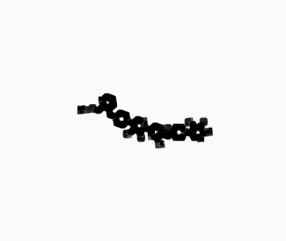 CCc1nc(-n2ncc(N3CCN(Cc4cccnc4COC)CC3)c(Cl)c2=O)ccc1CC1(O)CCN(c2cn[nH]c(=O)c2Cl)CC1